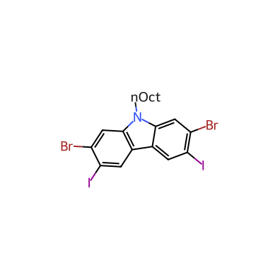 CCCCCCCCn1c2cc(Br)c(I)cc2c2cc(I)c(Br)cc21